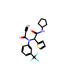 C#CC(=O)N(c1cccc(C(F)(F)F)c1)C(C(=O)NC1CCCC1)c1cccs1